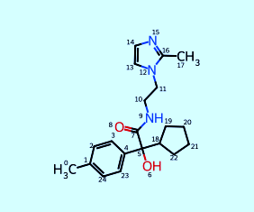 Cc1ccc(C(O)(C(=O)NCCn2ccnc2C)C2CCCC2)cc1